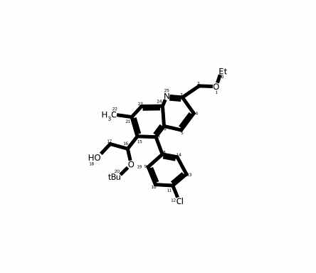 CCOCc1ccc2c(-c3ccc(Cl)cc3)c(C(CO)OC(C)(C)C)c(C)cc2n1